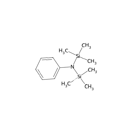 C[Si](C)(C)N(c1ccccc1)[Si](C)(C)C